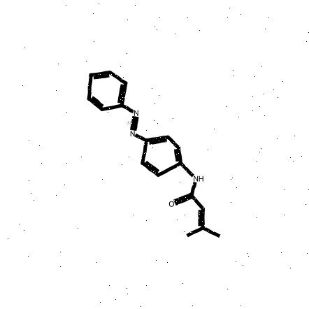 CC(C)=CC(=O)Nc1ccc(/N=N/c2ccccc2)cc1